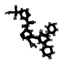 Cc1ccc(NC(=O)c2cccc(C(F)(F)F)c2)cc1-c1cc(N2CCOCC2)nc(N2CCSCC2)n1